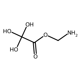 NCOC(=O)C(O)(O)O